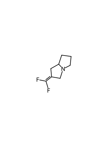 FC(F)=C1CC2CCCN2C1